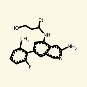 CCC(CCO)Nc1cc(-c2c(C)cccc2F)cc2cnc(N)cc12